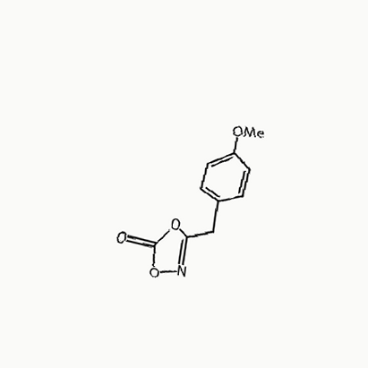 COc1ccc(Cc2noc(=O)o2)cc1